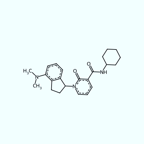 CN(C)c1cccc2c1CCC2n1cccc(C(=O)NC2CCCCC2)c1=O